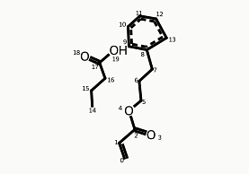 C=CC(=O)OCCCc1ccccc1.CCCC(=O)O